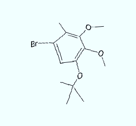 COc1c(OC(C)(C)C)cc(Br)c(C)c1OC